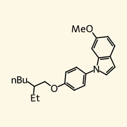 CCCCC(CC)COc1ccc(-n2ccc3ccc(OC)cc32)cc1